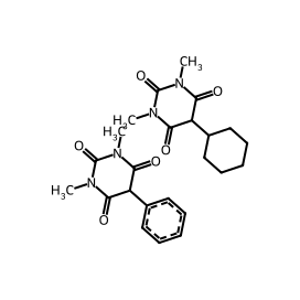 CN1C(=O)C(C2CCCCC2)C(=O)N(C)C1=O.CN1C(=O)C(c2ccccc2)C(=O)N(C)C1=O